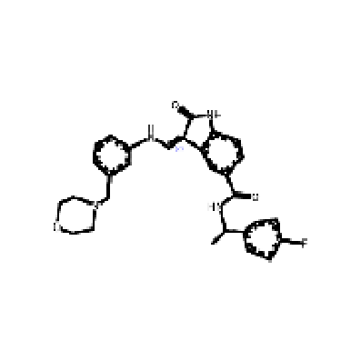 CC(NC(=O)c1ccc2c(c1)/C(=C/Nc1cccc(CN3CCOCC3)c1)C(=O)N2)c1ccc(F)cc1